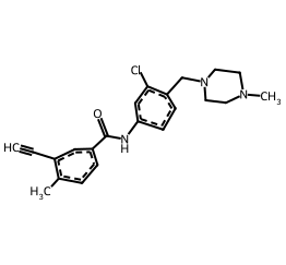 C#Cc1cc(C(=O)Nc2ccc(CN3CCN(C)CC3)c(Cl)c2)ccc1C